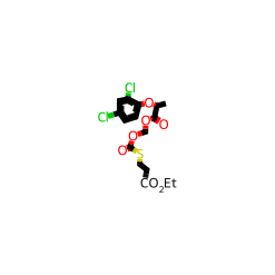 CCOC(=O)CCSC(=O)OCOC(=O)C(C)Oc1ccc(Cl)cc1Cl